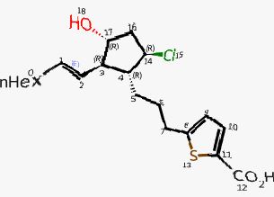 CCCCCC/C=C/[C@@H]1[C@@H](CCCc2ccc(C(=O)O)s2)[C@H](Cl)C[C@H]1O